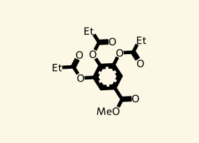 CCC(=O)Oc1cc(C(=O)OC)cc(OC(=O)CC)c1OC(=O)CC